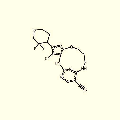 N#Cc1cnc2nc1NCCCOc1nn(C3CCOCC3(F)F)c(Cl)c1N2